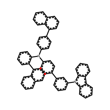 c1cc(-c2ccc(N(c3ccc(-c4cccc5ccccc45)cc3)c3ccccc3-c3cccc4ccccc34)cc2)cc(-n2c3ccccc3c3ccccc32)c1